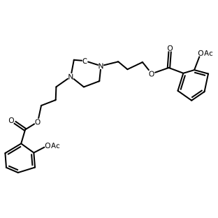 CC(=O)Oc1ccccc1C(=O)OCCCN1CCN(CCCOC(=O)c2ccccc2OC(C)=O)CC1